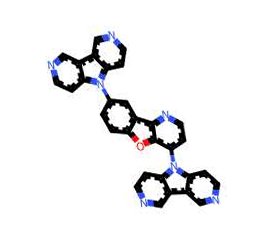 c1cc2c(cn1)c1cnccc1n2-c1ccc2oc3c(-n4c5ccncc5c5cnccc54)ccnc3c2c1